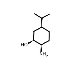 CC(C)[C@H]1CC[C@@H](N)[C@@H](O)C1